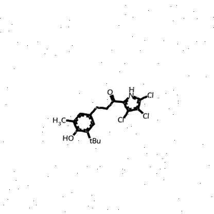 Cc1cc(CCC(=O)c2[nH]c(Cl)c(Cl)c2Cl)cc(C(C)(C)C)c1O